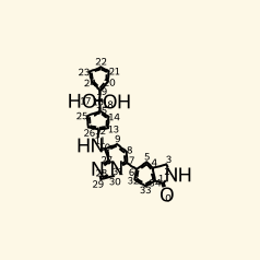 O=C1NCc2cc(-c3ccc(Nc4ccc(C(O)(O)c5ccccc5)cc4)c4nccn34)ccc21